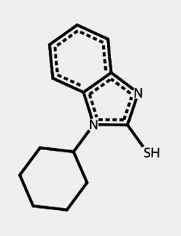 Sc1nc2ccccc2n1C1CCCCC1